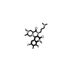 Cc1c(F)cc2c3c(c(=O)n(I)c2c1F)N(CCCN(C)C)C(=O)C1CN(I)C(C)CN31